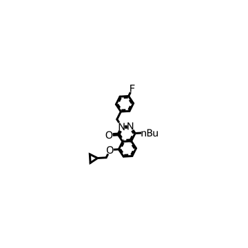 CCCCc1nn(Cc2ccc(F)cc2)c(=O)c2c(OCC3CC3)cccc12